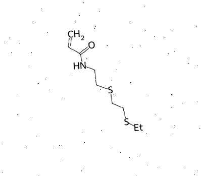 C=CC(=O)NCCSCCSCC